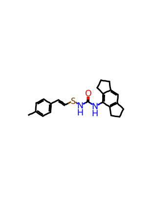 Cc1ccc(/C=C/SNC(=O)Nc2c3c(cc4c2CCC4)CCC3)cc1